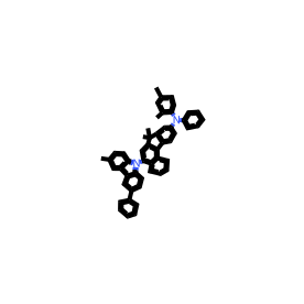 Cc1ccc(N(c2ccccc2)c2ccc3c(c2)C(C)(C)c2cc(-n4c5ccc(C)cc5c5cc(-c6ccccc6)ccc54)c4ccccc4c2-3)c(C)c1